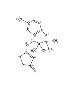 CC1(C)Oc2ccc([N+](=O)[O-])cc2C(OC2=CC(=O)CC2)C1(C)O